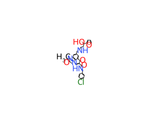 CN1C(=O)Cn2cc(C(=O)NCc3ccc(Cl)cc3)c(=O)c3cc(CNCCC(O)c4ccco4)cc1c32